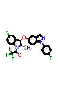 C[C@H]1[C@H](Oc2ccc3c(cnn3-c3ccc(F)cc3)c2)c2cc(F)ccc2N1C(=O)C(F)(F)F